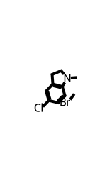 CBr.CN1CCc2cc(Cl)ccc21